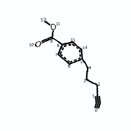 C#CCCCc1ccc(C(=O)OC)cc1